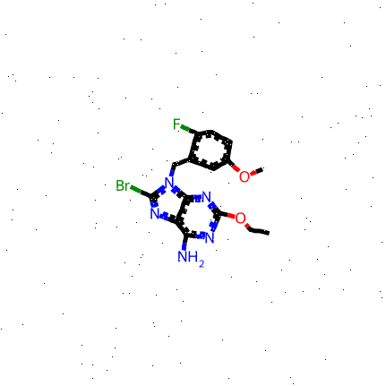 CCOc1nc(N)c2nc(Br)n(Cc3cc(OC)ccc3F)c2n1